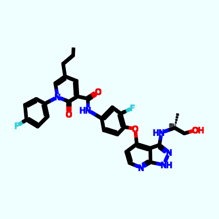 CCCc1cc(C(=O)Nc2ccc(Oc3ccnc4[nH]nc(N[C@H](C)CO)c34)c(F)c2)c(=O)n(-c2ccc(F)cc2)c1